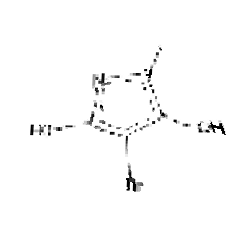 Cn1nc(O)c(Br)c1O